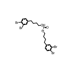 O=[PH](OCCCCc1ccc(Br)c(Br)c1)OCCCCc1ccc(Br)c(Br)c1